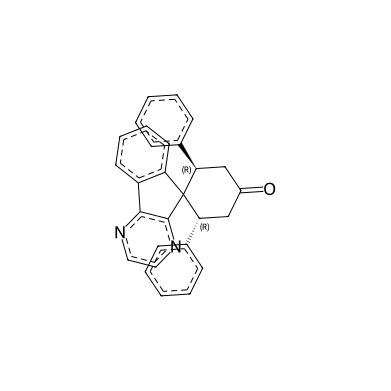 O=C1C[C@H](c2ccccc2)C2(c3ccccc3-c3nccnc32)[C@@H](c2ccccc2)C1